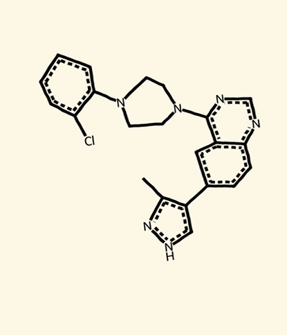 Cc1n[nH]cc1-c1ccc2ncnc(N3CCN(c4ccccc4Cl)CC3)c2c1